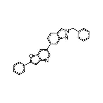 [c]1c(-c2ccc3cn(Cc4ccccc4)nc3c2)cnc2cc(-c3ccccc3)oc12